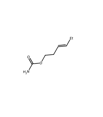 CCC=CCCOC(N)=O